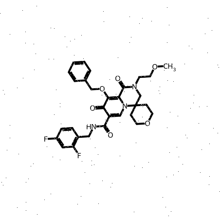 COCCN1CC2(CCOCC2)n2cc(C(=O)NCc3ccc(F)cc3F)c(=O)c(OCc3ccccc3)c2C1=O